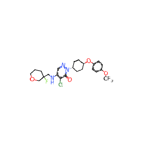 O=c1c(Cl)c(NC[C@@]2(F)CCCOC2)cnn1[C@H]1CC[C@H](Oc2ccc(OC(F)(F)F)cc2)CC1